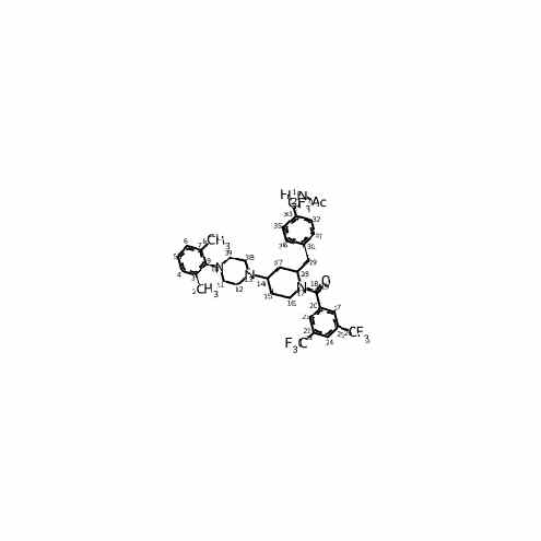 CC(N)=O.Cc1cccc(C)c1N1CCN(C2CCN(C(=O)c3cc(C(F)(F)F)cc(C(F)(F)F)c3)C(Cc3ccc(C(F)(F)F)cc3)C2)CC1